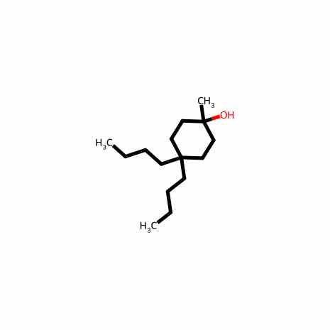 CCCCC1(CCCC)CCC(C)(O)CC1